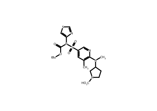 Cc1cc(S(=O)(=O)N(C(=O)OC(C)(C)C)c2cscn2)cnc1N(C)C1CCN(C(=O)O)C1